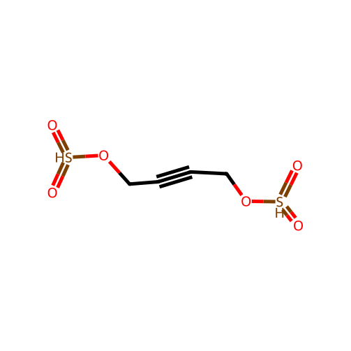 O=[SH](=O)OCC#CCO[SH](=O)=O